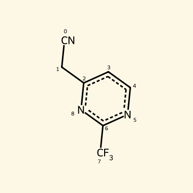 N#CCc1ccnc(C(F)(F)F)n1